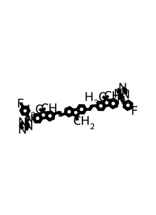 C=C1c2cc(/C=C/c3ccc4c(c3)C(C)(C)c3cc(N(c5ccc(F)cc5)c5ncncn5)ccc3-4)ccc2-c2ccc(/C=C/c3ccc4c(c3)C(C)(C)c3cc(N(c5ccc(F)cc5)c5ncncn5)ccc3-4)cc21